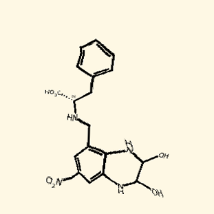 O=C(O)[C@H](Cc1ccccc1)NCc1cc([N+](=O)[O-])cc2c1NC(O)C(O)N2